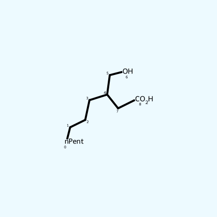 CCCCCCCCC(CO)CC(=O)O